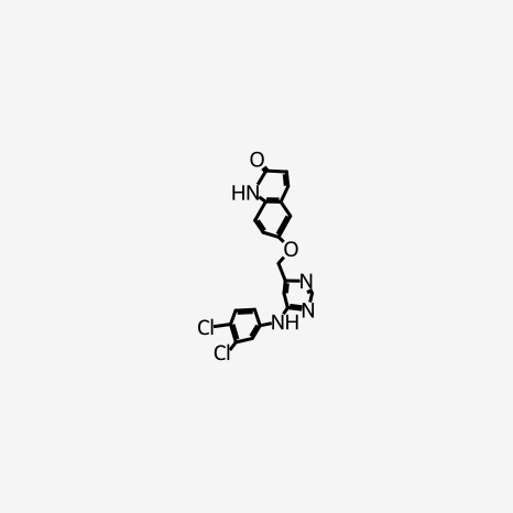 O=c1ccc2cc(OCc3cc(Nc4ccc(Cl)c(Cl)c4)ncn3)ccc2[nH]1